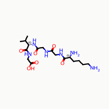 CC(C)[C@H](NC(=O)CNC(=O)CNC(=O)[C@@H](N)CCCCN)C(=O)NCC(=O)O